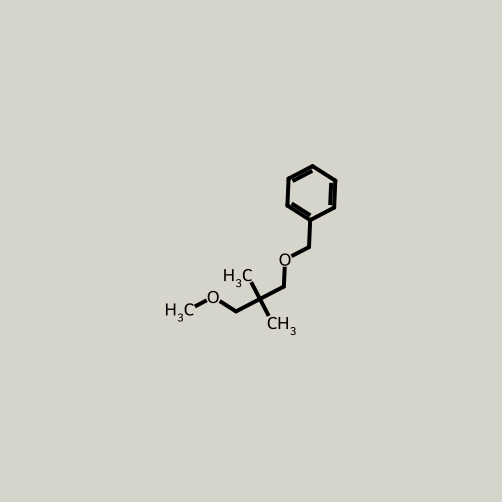 COCC(C)(C)COCc1ccccc1